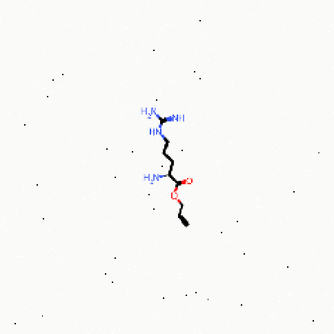 C=CCOC(=O)[C@@H](N)CCCNC(=N)N